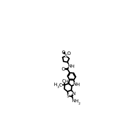 CC1(C)CC2SC(N)=NC2C2Nc3ccc(C(=O)NC4CCS(=O)(=O)C4)cc3C21